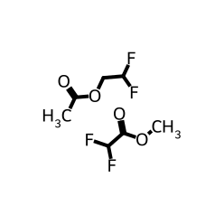 CC(=O)OCC(F)F.COC(=O)C(F)F